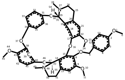 COc1ccc(COc2c(OC)cc3c4c2Oc2cc5c(cc2OC)CCN(C)[C@H]5Cc2ccc(cc2)Oc2cc(ccc2OC)C[C@@H]4N(C)CC3)cc1